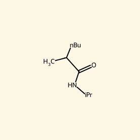 CCCC[C](C)C(=O)NC(C)C